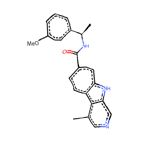 COc1cccc([C@@H](C)NC(=O)c2ccc3c(c2)[nH]c2cncc(C)c23)c1